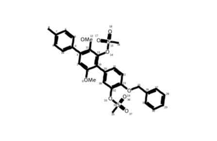 COc1cc(-c2ccc(C)cc2)c(OC)c(OS(C)(=O)=O)c1-c1ccc(OCc2ccccc2)c(OS(C)(=O)=O)c1